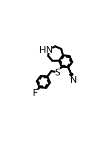 N#Cc1ccc2c(c1SCc1ccc(F)cc1)CCNCC2